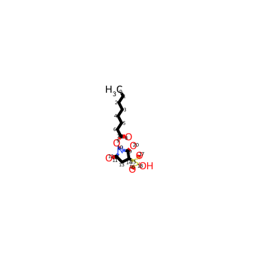 CCCCCCCC(=O)ON1C(=O)CC(S(=O)(=O)O)C1=O